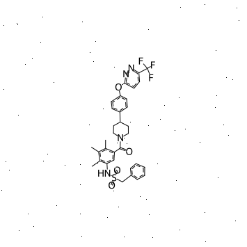 Cc1c(NS(=O)(=O)Cc2ccccc2)cc(C(=O)N2CCC(c3ccc(Oc4ccc(C(F)(F)F)nn4)cc3)CC2)c(C)c1C